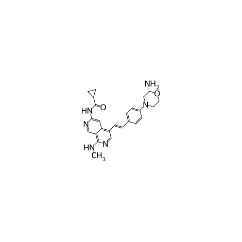 CNc1ncc(/C=C/c2ccc(N3CCO[C@@H](N)C3)cc2)c2cc(NC(=O)C3CC3)ncc12